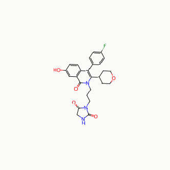 O=C1CNC(=O)N1CCCn1c(C2CCOCC2)c(-c2ccc(F)cc2)c2ccc(O)cc2c1=O